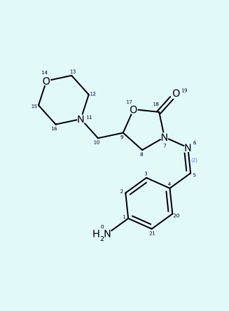 Nc1ccc(/C=N\N2CC(CN3CCOCC3)OC2=O)cc1